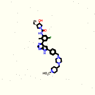 Cc1c(NC(=O)N2C[C@H](CC(C)C)[C@@H](O)C2)cc(F)cc1-c1ncnc2[nH]c(-c3ccc(CN4CCN(CC5CCN(C(=O)O)CC5)CC4)cc3)cc12